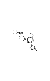 CN(CC(=O)NC1CCCC1)c1nc(-c2cn(C)cn2)nc2c1CCC2